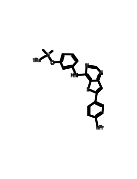 CCCc1ccc(-c2cc3ncnc(Nc4cccc(O[Si](C)(C)C(C)(C)C)c4)c3s2)cc1